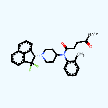 CNC(=O)CCC(=O)N(c1ccccc1C)C1CCN([C@H]2c3cccc4cccc(c34)C2(F)F)CC1